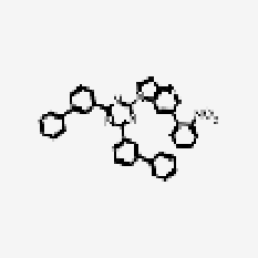 O=[N+]([O-])c1ccccc1-c1cnc2ccn(-c3nc(-c4cccc(-c5ccccc5)c4)nc(-c4cccc(-c5ccccc5)c4)n3)c2c1